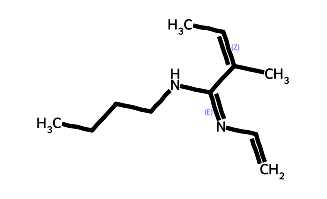 C=C/N=C(NCCCC)\C(C)=C/C